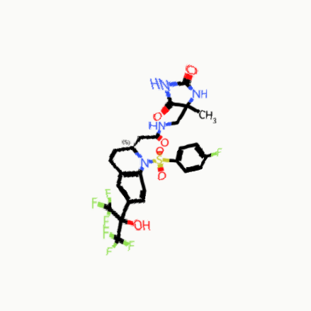 CC1(CNC(=O)C[C@@H]2CCc3cc(C(O)(C(F)(F)F)C(F)(F)F)ccc3N2S(=O)(=O)c2ccc(F)cc2)NC(=O)NC1=O